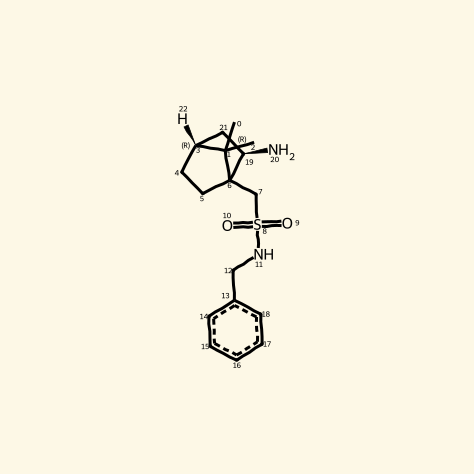 CC1(C)[C@@H]2CCC1(CS(=O)(=O)NCc1ccccc1)[C@H](N)C2